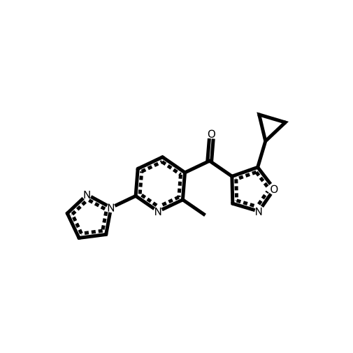 Cc1nc(-n2cccn2)ccc1C(=O)c1cnoc1C1CC1